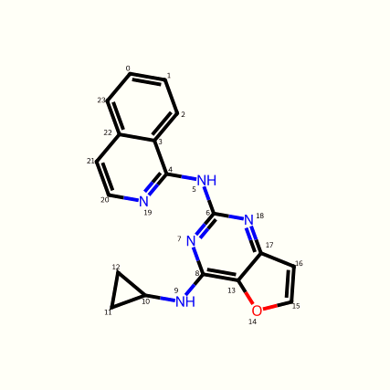 c1ccc2c(Nc3nc(NC4CC4)c4occc4n3)nccc2c1